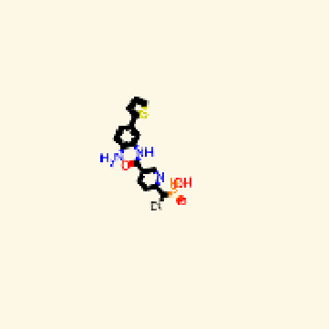 CCC(c1ccc(C(=O)Nc2cc(-c3cccs3)ccc2N)cn1)[PH](=O)O